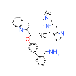 CC(=O)N1CCN(C(C#N)c2cccnc2C)CC1.NCc1ccccc1-c1ccc(OCc2ccc3ccccc3n2)cc1